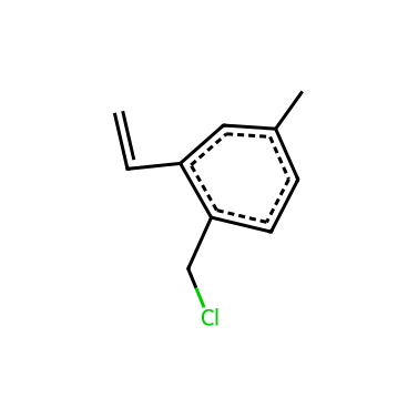 C=Cc1cc(C)ccc1CCl